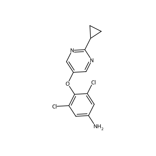 Nc1cc(Cl)c(Oc2cnc(C3CC3)nc2)c(Cl)c1